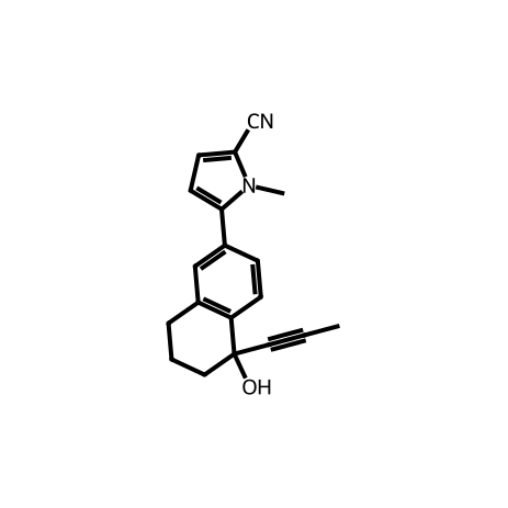 CC#CC1(O)CCCc2cc(-c3ccc(C#N)n3C)ccc21